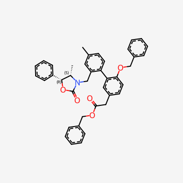 Cc1ccc(-c2cc(CC(=O)OCc3ccccc3)ccc2OCc2ccccc2)c(CN2C(=O)O[C@H](c3ccccc3)[C@@H]2C)c1